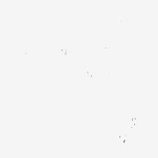 O=C(OCc1ccncc1)N1Cc2c([nH]c3ccccc3c2=O)C1c1ccc2c(c1)CCO2